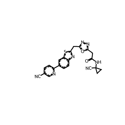 N#Cc1ccc(-c2ccc3nc(Cc4nnc(CC(=O)NC5(C#N)CC5)o4)sc3c2)nc1